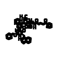 CC(C)C[C@H](NC(=O)C(Cc1ccccn1)NC(=O)[C@H](Cc1cccc2ccccc12)NC(=O)OCc1ccccc1)[C@@H](O)CC(=O)NNC(=O)CCCC(=O)c1ccccc1